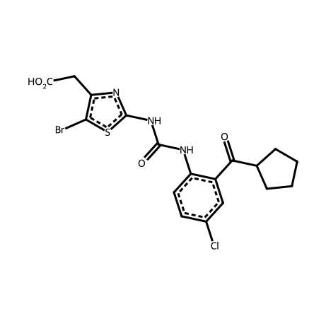 O=C(O)Cc1nc(NC(=O)Nc2ccc(Cl)cc2C(=O)C2CCCC2)sc1Br